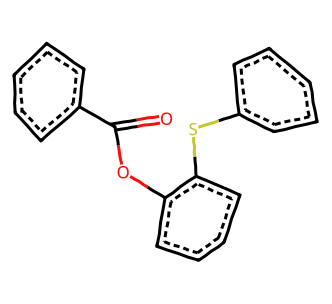 O=C(Oc1ccccc1Sc1ccccc1)c1ccccc1